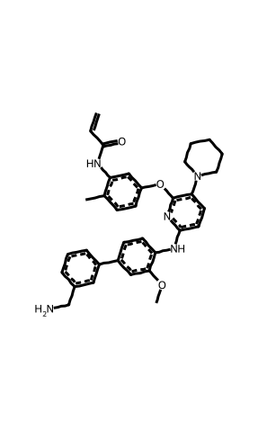 C=CC(=O)Nc1cc(Oc2nc(Nc3ccc(-c4cccc(CN)c4)cc3OC)ccc2N2CCCCC2)ccc1C